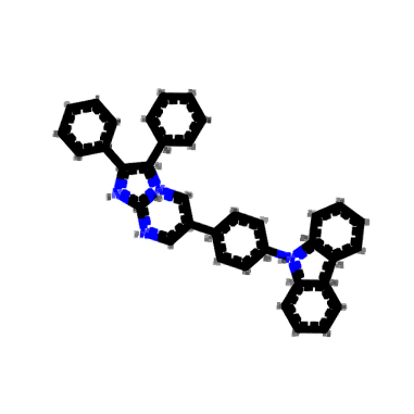 c1ccc(-c2nc3ncc(-c4ccc(-n5c6ccccc6c6ccccc65)cc4)cn3c2-c2ccccc2)cc1